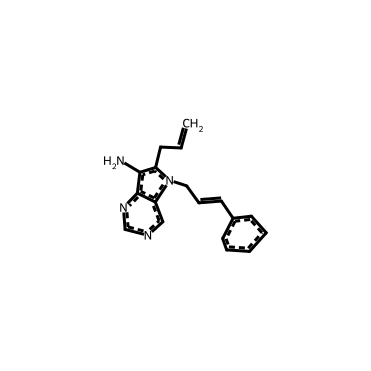 C=CCc1c(N)c2ncncc2n1CC=Cc1ccccc1